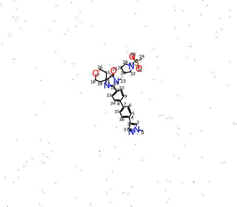 Cn1cc(-c2ccc(-c3ccc(C4=NC5(CCOCC5)C(=O)N4C[C@@H]4CCN(S(C)(=O)=O)C4)cc3)cc2)cn1